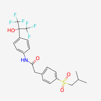 CC(C)CS(=O)(=O)c1ccc(CC(=O)Nc2ccc(C(O)(C(F)(F)F)C(F)(F)F)cc2)cc1